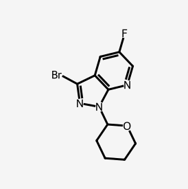 Fc1cnc2c(c1)c(Br)nn2C1CCCCO1